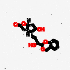 O=C1C[C@@H]2[C@@H](/C=C/[C@H](O)C3OCc4ccccc4O3)[C@H](O)C[C@@H]2O1